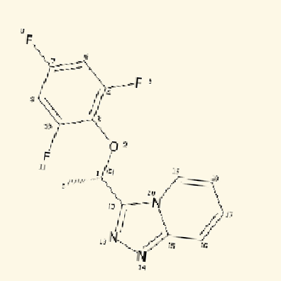 C[C@H](Oc1c(F)cc(F)cc1F)c1nnc2ccccn12